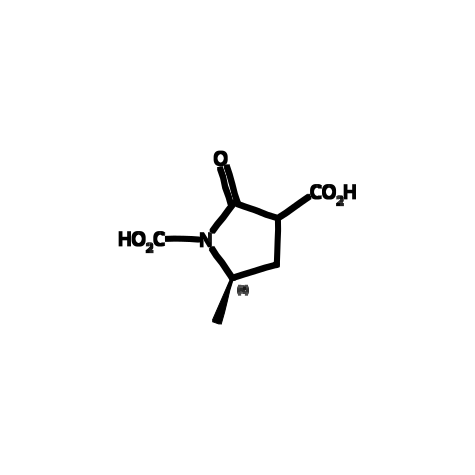 C[C@@H]1CC(C(=O)O)C(=O)N1C(=O)O